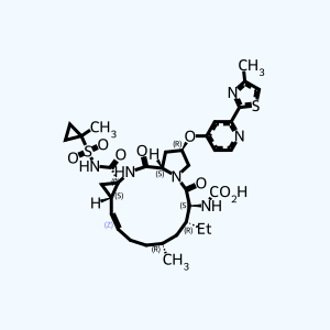 CC[C@@H]1C[C@H](C)CC/C=C\[C@@H]2C[C@@]2(C(=O)NS(=O)(=O)C2(C)CC2)NC(=O)[C@@H]2C[C@@H](Oc3ccnc(-c4nc(C)cs4)c3)CN2C(=O)[C@H]1NC(=O)O